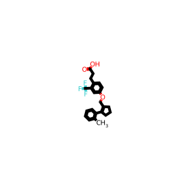 Cc1ccccc1C1=C(COc2ccc(CCC(=O)O)c(C(F)(F)F)c2)CCC1